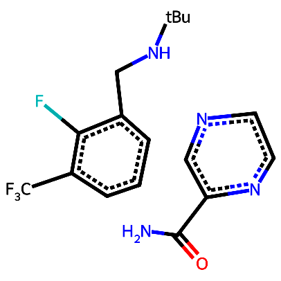 CC(C)(C)NCc1cccc(C(F)(F)F)c1F.NC(=O)c1cnccn1